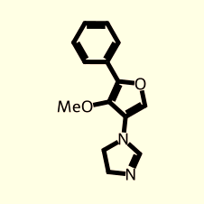 COc1c(N2C=NCC2)coc1-c1ccccc1